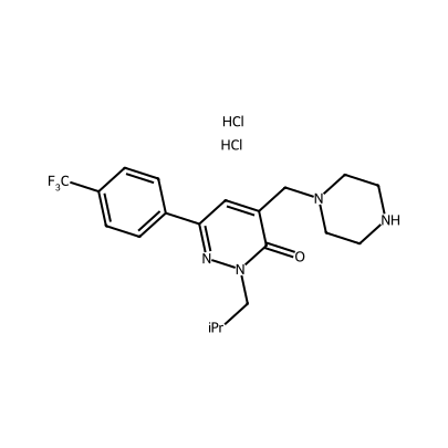 CC(C)Cn1nc(-c2ccc(C(F)(F)F)cc2)cc(CN2CCNCC2)c1=O.Cl.Cl